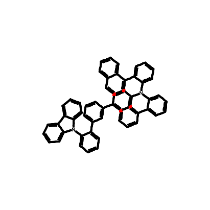 c1ccc(-c2ccccc2N(c2ccc(-c3cccc(-c4ccccc4-n4c5ccccc5c5ccccc54)c3)cc2)c2ccccc2-c2cccc3ccccc23)cc1